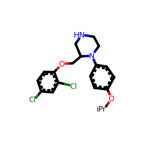 CC(C)Oc1ccc(N2CCNCC2COc2ccc(Cl)cc2Cl)cc1